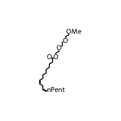 CCCCC/C=C\C/C=C\CCCCCCCC(=O)OCCOCCOCCOC